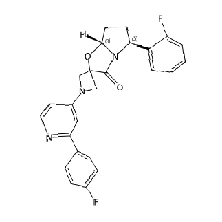 O=C1N2[C@@H](CC[C@H]2c2ccccc2F)OC12CN(c1ccnc(-c3ccc(F)cc3)c1)C2